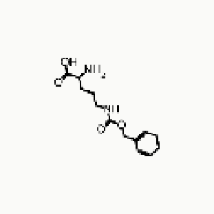 NC(CCCNC(=O)OCC1=CCCC=C1)C(=O)O